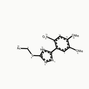 COc1cc(-c2nnc(SCC(C)=O)[nH]2)c([N+](=O)[O-])cc1OC